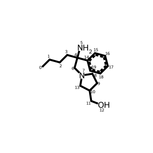 CCCCC(N)(CN1CCC(CO)C1)c1ccccc1